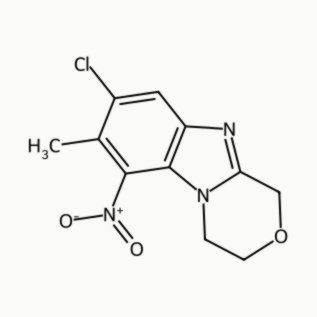 Cc1c(Cl)cc2nc3n(c2c1[N+](=O)[O-])CCOC3